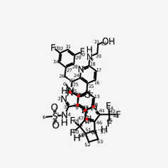 Cn1nc(NS(C)(=O)=O)c2c(Cl)ccc(-c3ccc(NCCO)nc3[C@H](Cc3cc(F)cc(F)c3)NC(=O)Cn3nc(C(F)(F)F)c4c3C(F)(F)[C@@H]3CC[C@H]43)c21